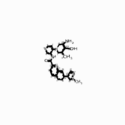 CC1CN(c2ccncc2NC(=O)c2ccc3ccc(-c4cnn(C)c4)cc3n2)CC(N)C1O